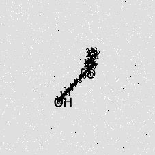 O=C(OCCCCCCCCCCCCO)c1ccc(-c2ccccc2)cc1